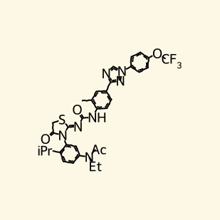 CCN(C(C)=O)c1ccc(C(C)C)c(N2C(=O)CSC2=NC(=O)Nc2ccc(-c3ncn(-c4ccc(OC(F)(F)F)cc4)n3)cc2C)c1